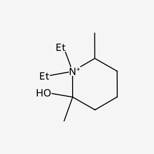 CC[N+]1(CC)C(C)CCCC1(C)O